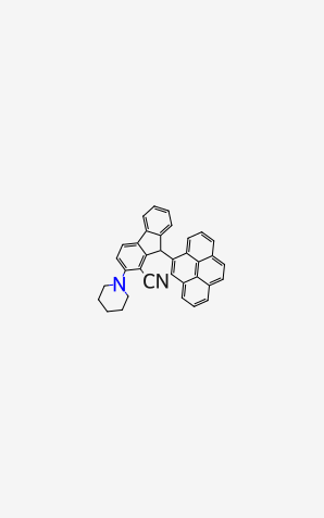 N#Cc1c(N2CCCCC2)ccc2c1C(c1cc3cccc4ccc5cccc1c5c43)c1ccccc1-2